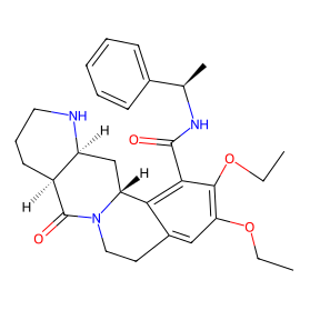 CCOc1cc2c(c(C(=O)N[C@H](C)c3ccccc3)c1OCC)[C@H]1C[C@@H]3NCCC[C@@H]3C(=O)N1CC2